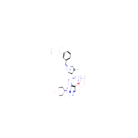 C[C@@H]1CN(Cc2cccc(C(F)(F)F)c2)C[C@H]1c1nc2c(cnn2C2CCOCC2)c(=O)[nH]1